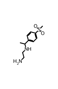 CC(NCCN)c1ccc(S(C)(=O)=O)cc1